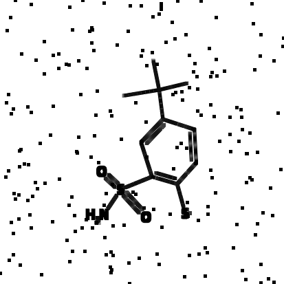 CC(C)(C)c1ccc([S])c(S(N)(=O)=O)c1